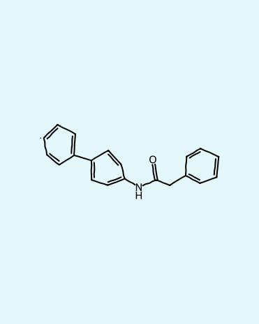 O=C(Cc1ccccc1)Nc1ccc(-c2cc[c]cc2)cc1